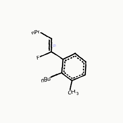 CCC/C=C(\F)c1cccc(C)c1CCCC